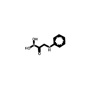 O=C(CNc1ccccc1)B(O)O